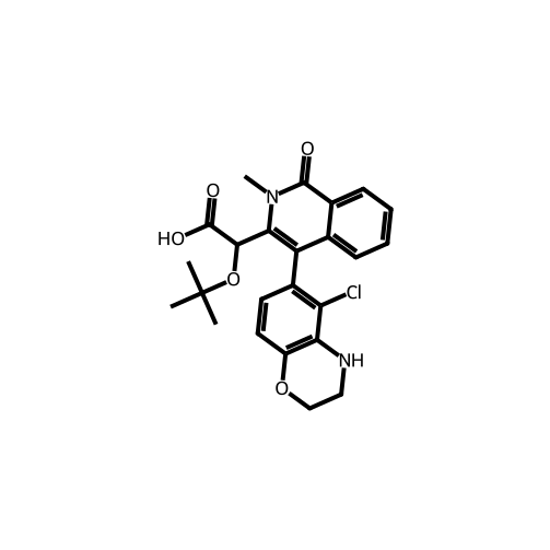 Cn1c(C(OC(C)(C)C)C(=O)O)c(-c2ccc3c(c2Cl)NCCO3)c2ccccc2c1=O